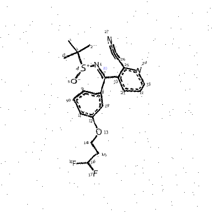 CC(C)(C)[S+]([O-])/N=C(\c1cccc(OCCC(F)F)c1)c1cccnc1C#N